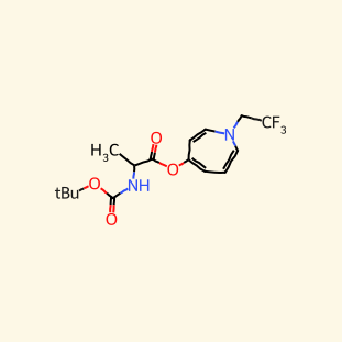 CC(NC(=O)OC(C)(C)C)C(=O)OC1=CC=CN(CC(F)(F)F)C=C1